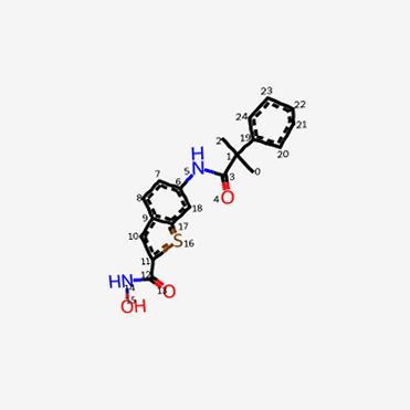 CC(C)(C(=O)Nc1ccc2cc(C(=O)NO)sc2c1)c1ccccc1